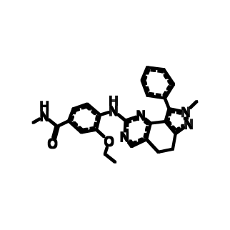 CCOc1cc(C(=O)NC)ccc1Nc1ncc2c(n1)-c1c(nn(C)c1-c1ccccc1)CC2